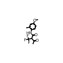 COc1ccc(NC(=O)C(C(C)=O)C(F)(F)F)c(C)c1